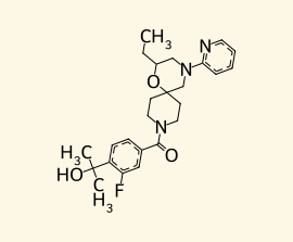 CCC1CN(c2ccccn2)CC2(CCN(C(=O)c3ccc(C(C)(C)O)c(F)c3)CC2)O1